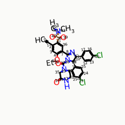 C#Cc1cc(OCC)c(C2=N[C@@H](c3ccc(Cl)cc3)[C@@H](c3ccc(Cl)cc3)N2C(=O)N2CCNC(=O)C2)cc1S(=O)(=O)N(C)C